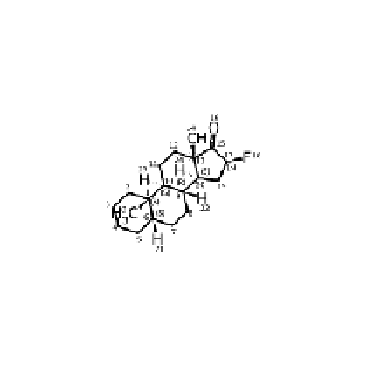 C[C@]12CCCC[C@H]1CC[C@@H]1[C@@H]2CC[C@]2(C)C(=O)[C@@H](F)C[C@@H]12